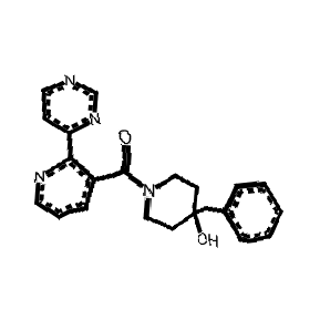 O=C(c1cccnc1-c1ccncn1)N1CCC(O)(c2ccccc2)CC1